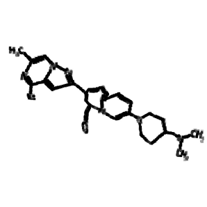 CCc1nc(C)cn2nc(C3=C\C(=O)N4C=C(N5CCC(N(C)C)CC5)C=C\C4=C/C=C/3)cc12